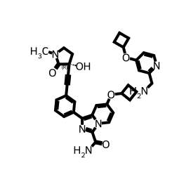 CN1CC[C@@](O)(C#Cc2cccc(-c3nc(C(N)=O)n4ccc(OC5CCC5)cc34)c2)C1=O.NCc1cc(OC2CCC2)ccn1